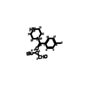 CC(C)(C)OC=O.Cc1ccc(C(=O)N2CCNCC2)cc1